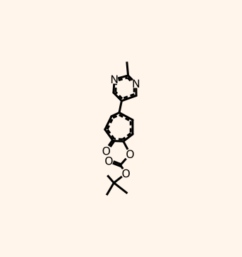 Cc1ncc(-c2ccc(OC(=O)OC(C)(C)C)c(=O)cc2)cn1